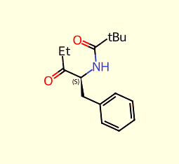 CCC(=O)[C@H](Cc1ccccc1)NC(=O)C(C)(C)C